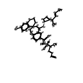 C=CCCC(C#N)S(=O)(=O)NC(=O)c1ccc2c(c1)N(C[C@@H]1CC[C@H]1C(O)/C=C/CCC)C[C@@]1(CCCc3cc(Cl)ccc31)CO2